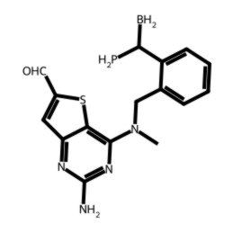 BC(P)c1ccccc1CN(C)c1nc(N)nc2cc(C=O)sc12